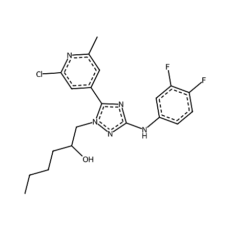 CCCCC(O)Cn1nc(Nc2ccc(F)c(F)c2)nc1-c1cc(C)nc(Cl)c1